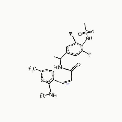 CCNc1nc(C(F)(F)F)ccc1/C=C\C(=O)NC(C)c1cc(F)c(NS(C)(=O)=O)c(F)c1